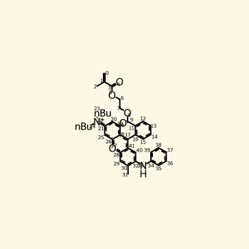 C=C(C)C(=O)OCCOC(=O)c1ccccc1-c1c2ccc(=[N+](CCCC)CCCC)cc-2oc2cc(C)c(Nc3ccccc3)cc12